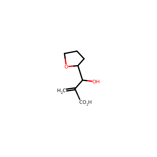 C=C(C(=O)O)C(O)C1CCCO1